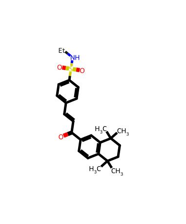 CCNS(=O)(=O)c1ccc(C=CC(=O)c2ccc3c(c2)C(C)(C)CCC3(C)C)cc1